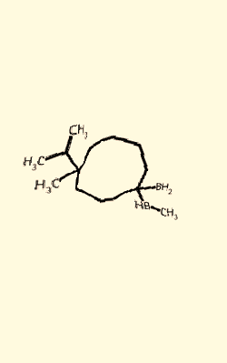 BC1(BC)CCCCC(C)(C(C)C)CCC1